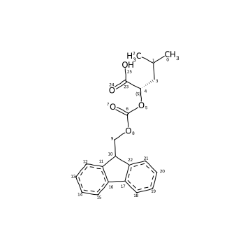 CC(C)C[C@H](OC(=O)OCC1c2ccccc2-c2ccccc21)C(=O)O